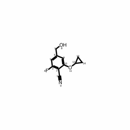 N#Cc1c(F)cc(CO)cc1OC1CC1